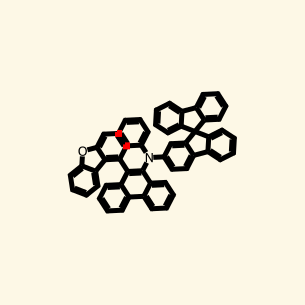 c1ccc(N(c2ccc3c(c2)C2(c4ccccc4-c4ccccc42)c2ccccc2-3)c2c(-c3cccc4oc5ccccc5c34)c3ccccc3c3ccccc23)cc1